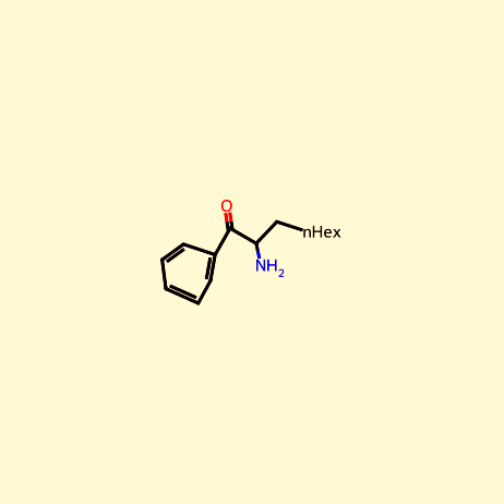 CCCCCCCC(N)C(=O)c1ccccc1